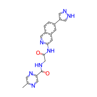 Cc1cnc(C(=O)NCC(=O)Nc2cc3cc(-c4cn[nH]c4)ccc3cn2)cn1